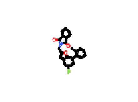 Cc1ccccc1-c1cc(F)cc2cc(CN3C(=O)c4ccccc4C3=O)oc12